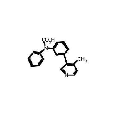 Cc1ccncc1-c1cccc(N(C(=O)O)c2ccccc2)c1